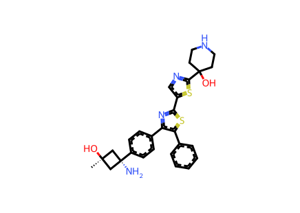 C[C@]1(O)C[C@@](N)(c2ccc(-c3nc(-c4cnc(C5(O)CCNCC5)s4)sc3-c3ccccc3)cc2)C1